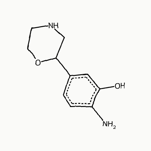 Nc1ccc(C2CNCCO2)cc1O